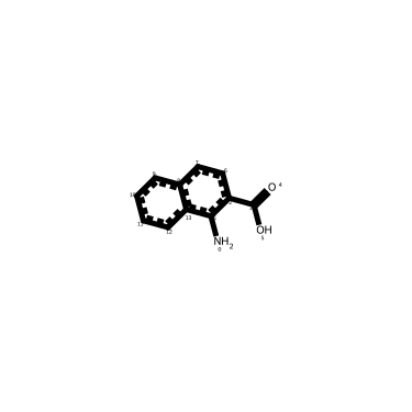 Nc1c(C(=O)O)ccc2ccccc12